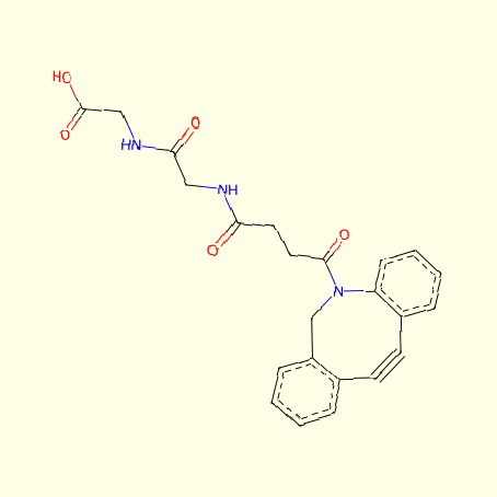 O=C(O)CNC(=O)CNC(=O)CCC(=O)N1Cc2ccccc2C#Cc2ccccc21